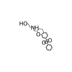 O=S(=O)(c1ccccc1)c1ccc2c(c1)O[C@@H](CNCCO)CC2